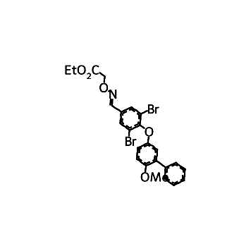 CCOC(=O)CON=Cc1cc(Br)c(Oc2ccc(OC)c(-c3ccccc3)c2)c(Br)c1